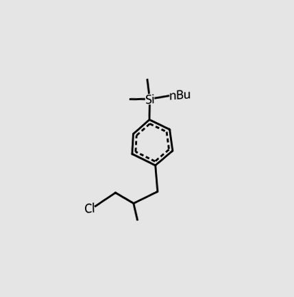 CCCC[Si](C)(C)c1ccc(CC(C)CCl)cc1